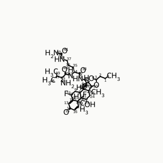 CCCC1O[C@@H]2C[C@H]3[C@@H]4C[C@H](F)C5=CC(=O)C=C[C@]5(C)[C@@]4(F)[C@@H](O)C[C@]3(C)[C@]2(C(=O)CNC(=O)[C@H](CCCNC(N)=O)NC(=O)[C@@H](N)C(C)C)O1